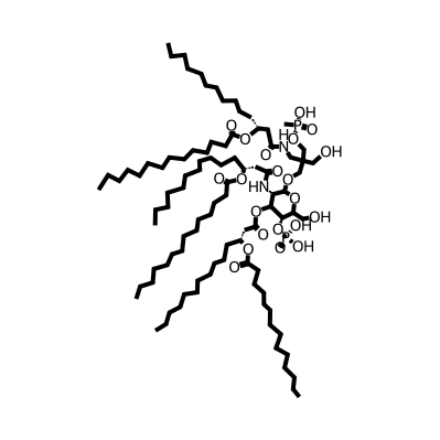 CCCCCCCCCCCCCC(=O)O[C@H](CCCCCCCCCCC)CC(=O)NCC(CO)(COC1OC(CO)[C@@H](OP(=O)(O)O)C(OC(=O)C[C@@H](CCCCCCCCCCC)OC(=O)CCCCCCCCCCCCC)[C@@H]1NC(=O)C[C@@H](CCCCCCCCCCC)OC(=O)CCCCCCCCCCCCC)COP(C)(=O)O